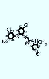 Cc1c[n+]([O-])ccc1NC(=O)COc1cc(Cl)ccc1Oc1cc(Cl)cc(C#N)c1